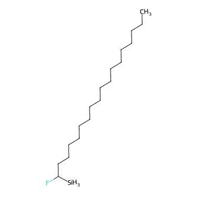 CCCCCCCCCCCCCCCCCC(F)[SiH3]